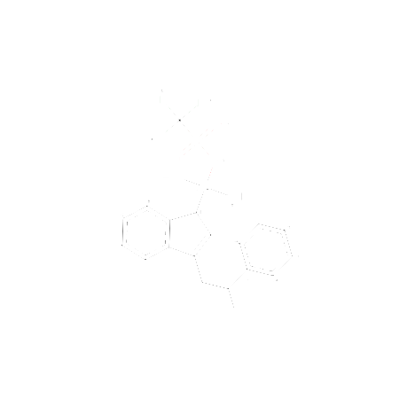 CC(CC1=CC([Si](C)(C)OS(=O)(=O)C(F)(F)F)c2ccccc21)c1ccccc1